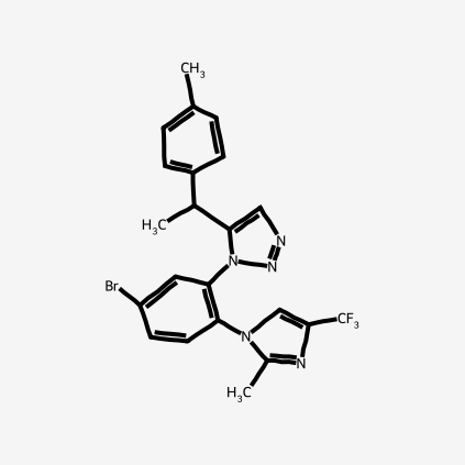 Cc1ccc(C(C)c2cnnn2-c2cc(Br)ccc2-n2cc(C(F)(F)F)nc2C)cc1